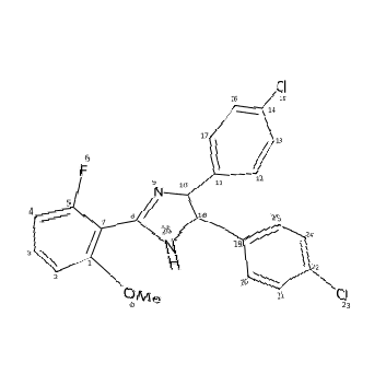 COc1cccc(F)c1C1=NC(c2ccc(Cl)cc2)C(c2ccc(Cl)cc2)N1